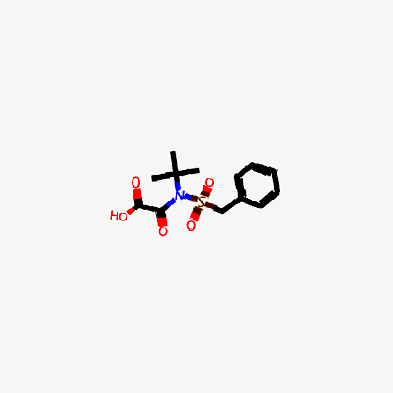 CC(C)(C)N(C(=O)C(=O)O)S(=O)(=O)Cc1ccccc1